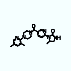 Cc1cnc(N2CCN(C(=O)c3ccc(N4C(=O)NCC4C)nc3)CC2)c(C)c1